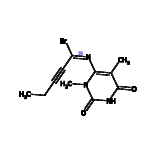 CCC#C/C(Br)=N\c1c(C)c(=O)[nH]c(=O)n1C